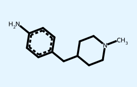 CN1CCC(Cc2ccc(N)cc2)CC1